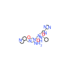 NC1CN(Cc2cccc3ncccc23)C(=O)CN1C(=O)CN(Cc1cc(-c2cnccn2)no1)NCc1ccccc1